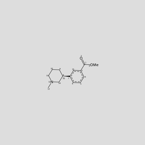 COC(=O)c1cccc([C@@H]2CCCN(C)C2)c1